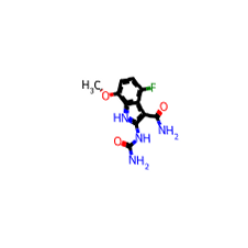 COc1ccc(F)c2c(C(N)=O)c(NC(N)=O)[nH]c12